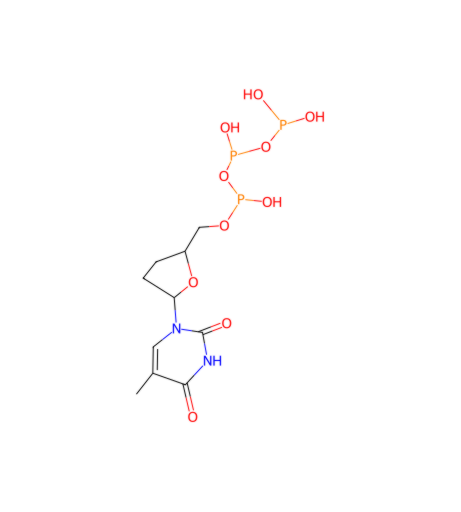 Cc1cn(C2CCC(COP(O)OP(O)OP(O)O)O2)c(=O)[nH]c1=O